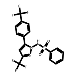 O=S(=O)(Nn1nc(C(F)(F)F)cc1-c1ccc(C(F)(F)F)cc1)c1ccccc1